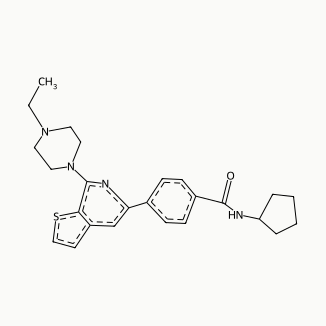 CCN1CCN(c2nc(-c3ccc(C(=O)NC4CCCC4)cc3)cc3ccsc23)CC1